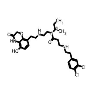 CC[C@@H](C)N(CCNCCc1ccc(O)c2c1OCC(=O)N2)C(=O)CCNCCc1ccc(Cl)c(Cl)c1